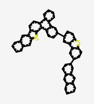 c1ccc2cc3cc(-c4ccc5sc6ccc(-c7ccc8c(c7)c7ccccc7c7ccc9c%10cc%11ccccc%11cc%10sc9c78)cc6c5c4)ccc3cc2c1